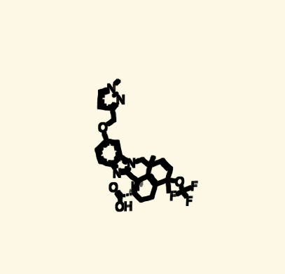 Cn1ccc(COc2ccc3nc4n(c3c2)CC2(C)C=CC(C)(OC(F)(F)F)C3=C2[C@H]4[C@@H](C(=O)O)CC3)n1